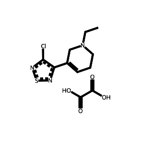 CCN1CCC=C(c2nsnc2Cl)C1.O=C(O)C(=O)O